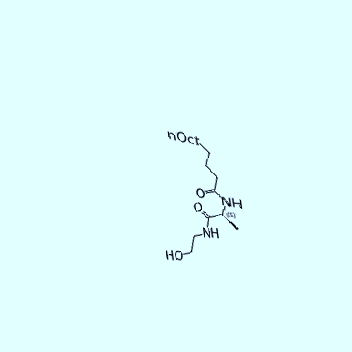 CCCCCCCCCCCC(=O)N[C@@H](C)C(=O)NCCO